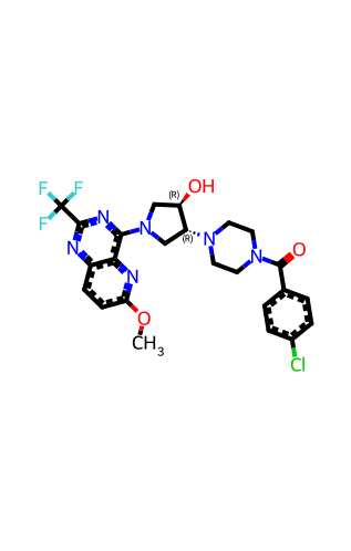 COc1ccc2nc(C(F)(F)F)nc(N3C[C@@H](O)[C@H](N4CCN(C(=O)c5ccc(Cl)cc5)CC4)C3)c2n1